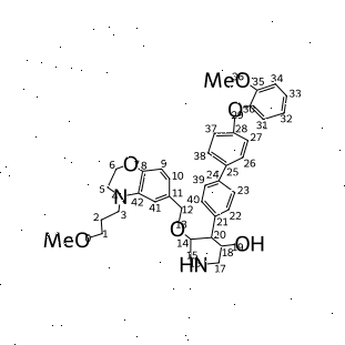 COCCCN1CCOc2ccc(COC3CNCC(O)C3c3ccc(-c4ccc(Oc5ccccc5OC)cc4)cc3)cc21